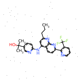 CCCc1cc(Nc2ccc(C(C)(C)O)cn2)c2ccc(-c3ncccc3C(F)(F)F)nc2n1